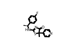 C[C@H](NC1=NC(=O)C(C)(c2ccncc2)S1)c1ccc(F)cc1